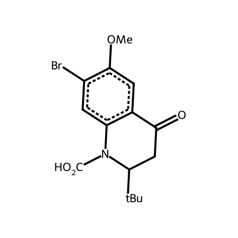 COc1cc2c(cc1Br)N(C(=O)O)C(C(C)(C)C)CC2=O